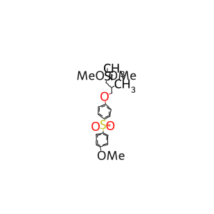 COc1ccc(S(=O)(=O)c2ccc(OCC(C)C[Si](C)(OC)OC)cc2)cc1